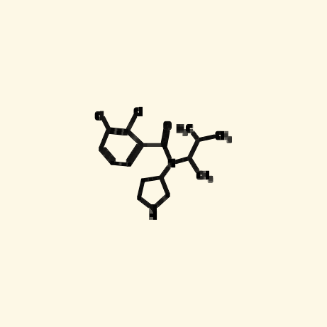 CC(C)C(C)N(C(=O)c1cccc(Cl)c1Cl)C1CCNC1